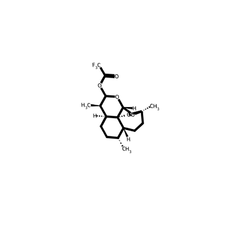 C[C@@H]1CC[C@H]2[C@@H](C)C(OC(=O)C(F)(F)F)O[C@@H]3O[C@]4(C)CC[C@H]1[C@]32OO4